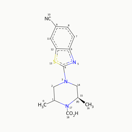 CC1CN(c2nc3ccc(C#N)cc3s2)C[C@@H](C)N1C(=O)O